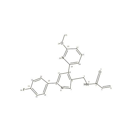 C=CC(=O)NCc1cnc(-c2ccc(F)cc2)cc1-c1cccc(OC)n1